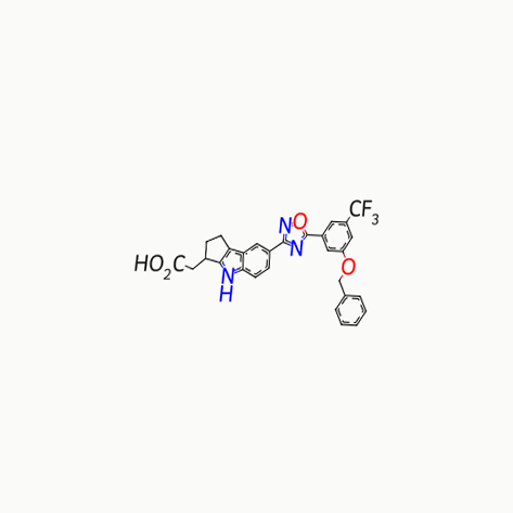 O=C(O)CC1CCc2c1[nH]c1ccc(-c3noc(-c4cc(OCc5ccccc5)cc(C(F)(F)F)c4)n3)cc21